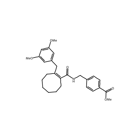 COC(=O)c1ccc(CNC(=O)/C2=C(\Cc3cc(OC)cc(OC)c3)CCCCCC2)cc1